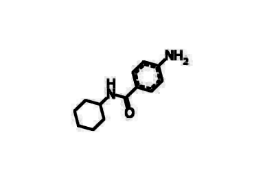 Nc1ccc(C(=O)NC2CCCCC2)cc1